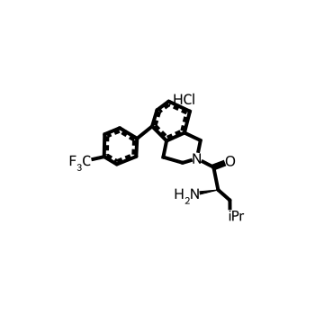 CC(C)C[C@@H](N)C(=O)N1CCc2c(cccc2-c2ccc(C(F)(F)F)cc2)C1.Cl